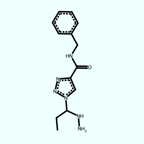 CCC(NN)n1cc(C(=O)NCc2ccccc2)nn1